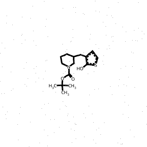 CC(C)(C)OC(=O)N1CCCC(Cc2ccsc2O)C1